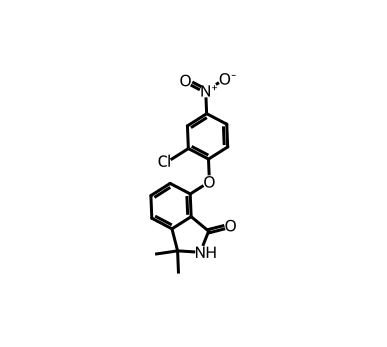 CC1(C)NC(=O)c2c(Oc3ccc([N+](=O)[O-])cc3Cl)cccc21